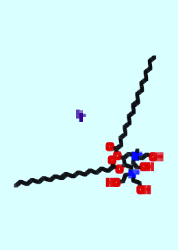 CCCCCCCCC=CCCCCCCCC(=O)OC(C[N+](C)(CCO)CCO)C(C[N+](C)(CCO)CCO)OC(=O)CCCCCCCC=CCCCCCCCC.[I-].[I-]